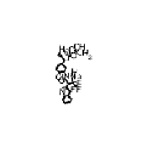 C[C@H](C(C(=O)Nc1cc([C@@H](CC(=O)OC(C)(C)C)C2CC2)ccc1Cl)c1cnc2ccccc2c1)C(F)(F)F